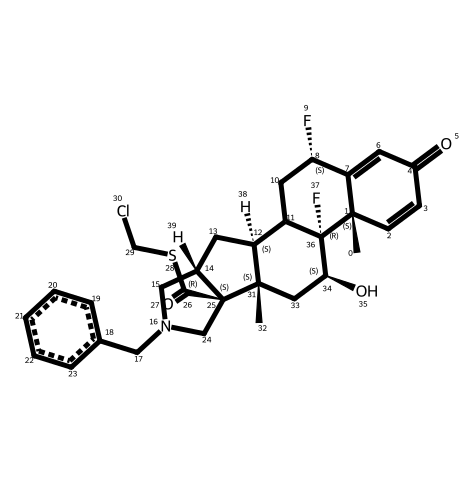 C[C@]12C=CC(=O)C=C1[C@@H](F)CC1[C@@H]3C[C@H]4CN(Cc5ccccc5)C[C@@]4(C(=O)SCCl)[C@@]3(C)C[C@H](O)[C@@]12F